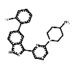 N#Cc1ccccc1-c1ccc2[nH]nc(-c3cncc(N4CCC(N)CC4)n3)c2c1